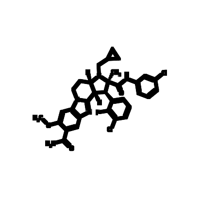 COc1cc2c(cc1C(N)=O)nc1n2CC[C@H]2[C@@H]1[C@H](c1cccc(Cl)c1F)[C@](C)(C(=O)Nc1cccc(Cl)c1)N2CC1CC1